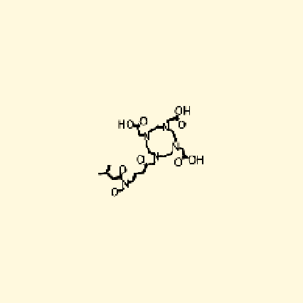 CC(C)CC(=O)N(C=O)CCCC(=O)CN1CCN(CC(=O)O)CCN(CC(=O)O)CCN(CC(=O)O)CC1